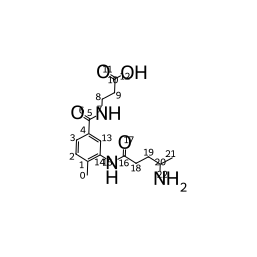 Cc1ccc(C(=O)NCCC(=O)O)cc1NC(=O)CCC(C)N